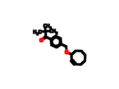 CC(C)(C)C(=O)c1ccc(COC2C#CCCCCC2)cc1